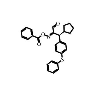 O=CC(=NOC(=O)c1ccccc1)[C@H](c1ccc(Sc2ccccc2)cc1)C1CCCC1